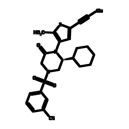 CC(C)(C)C#Cc1cc(N2C(=O)CN(S(=O)(=O)c3cccc(C#N)c3)C[C@H]2C2CCCCC2)c(C(=O)O)s1